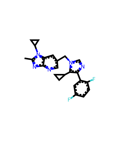 Cc1nc2ncc(Cn3cnc(-c4cc(F)ccc4F)c3C3CC3)cc2n1C1CC1